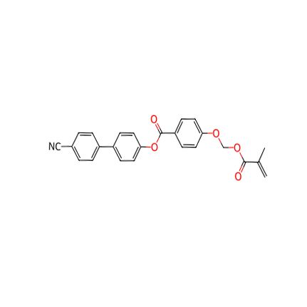 C=C(C)C(=O)OCOc1ccc(C(=O)Oc2ccc(-c3ccc(C#N)cc3)cc2)cc1